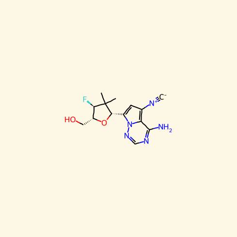 [C-]#[N+]c1cc([C@@H]2O[C@H](CO)[C@@H](F)C2(C)C)n2ncnc(N)c12